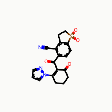 N#Cc1c(C(=O)C2=C(n3cccn3)CCCC2=O)ccc2c1CCS2(=O)=O